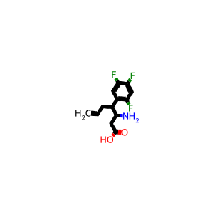 C=CCC(c1cc(F)c(F)cc1F)C(N)CC(=O)O